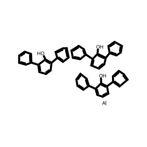 Oc1c(-c2ccccc2)cccc1-c1ccccc1.Oc1c(-c2ccccc2)cccc1-c1ccccc1.Oc1c(-c2ccccc2)cccc1-c1ccccc1.[Al]